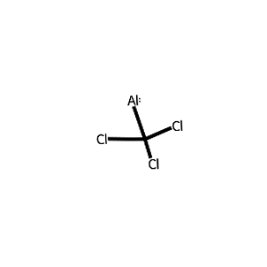 [Al][C](Cl)(Cl)Cl